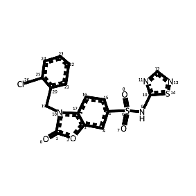 O=c1oc2cc(S(=O)(=O)Nc3ncns3)ccc2n1Cc1ccccc1Cl